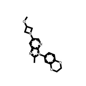 COC1CN(c2cnc3c(c2)nc(C)n3-c2ccc3c(c2)OCCO3)C1